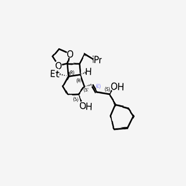 CC[C@@]12CC[C@H](O)[C@@H](/C=C/[C@@H](O)C3CCCCC3)[C@@H]1C(CC(C)C)C21OCCO1